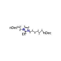 CCCCCCCCCCCCCCCCN1C=CN(CCCCCCCCCCCC)C1CC